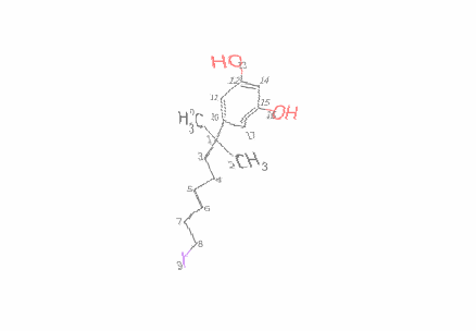 CC(C)(CCCCCCI)c1cc(O)cc(O)c1